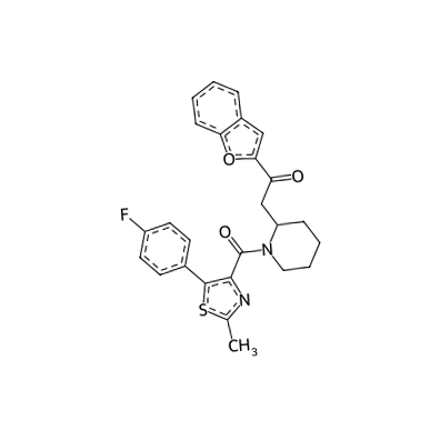 Cc1nc(C(=O)N2CCCCC2CC(=O)c2cc3ccccc3o2)c(-c2ccc(F)cc2)s1